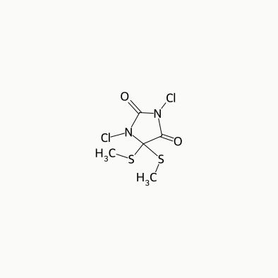 CSC1(SC)C(=O)N(Cl)C(=O)N1Cl